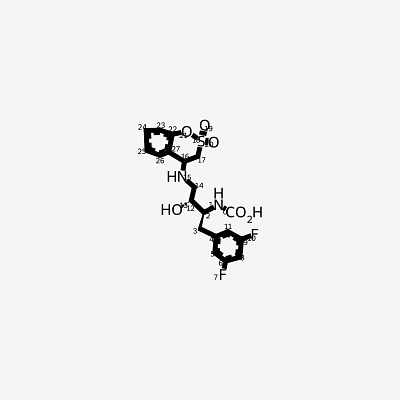 O=C(O)N[C@@H](Cc1cc(F)cc(F)c1)[C@H](O)CNC1CS(=O)(=O)Oc2ccccc21